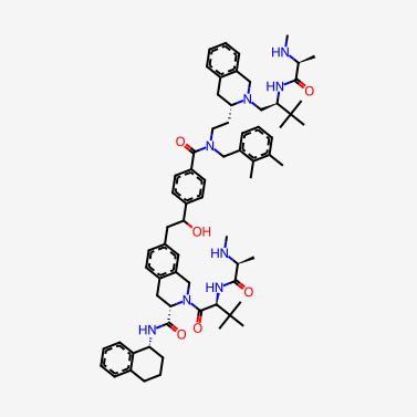 CN[C@@H](C)C(=O)N[C@H](C(=O)N1Cc2cc(CC(O)c3ccc(C(=O)N(CC[C@@H]4Cc5ccccc5CN4C[C@@H](NC(=O)[C@H](C)NC)C(C)(C)C)Cc4cccc(C)c4C)cc3)ccc2C[C@H]1C(=O)N[C@@H]1CCCc2ccccc21)C(C)(C)C